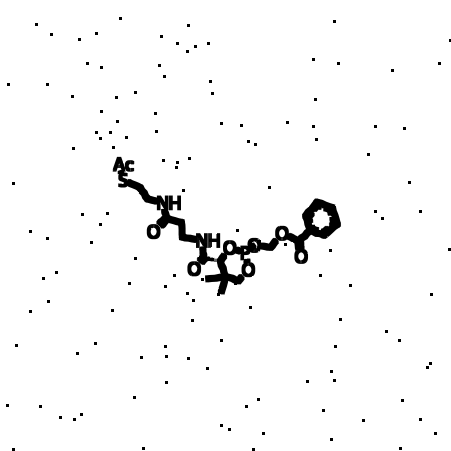 CC(=O)SCCNC(=O)CCNC(=O)[C@@H]1OP(OCOC(=O)c2ccccc2)OCC1(C)C